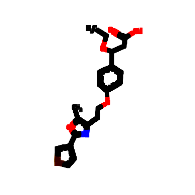 CCOC(CC(=O)O)c1ccc(OCCc2nc(-c3ccsc3)oc2C)cc1